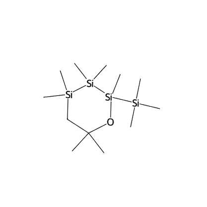 CC1(C)C[Si](C)(C)[Si](C)(C)[Si](C)([Si](C)(C)C)O1